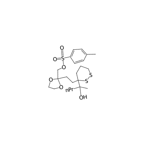 CCCC(C)(O)C1(CCC2(COS(=O)(=O)c3ccc(C)cc3)OCCO2)CCCSS1